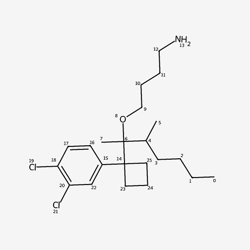 CCCCC(C)C(C)(OCCCCN)C1(c2ccc(Cl)c(Cl)c2)CCC1